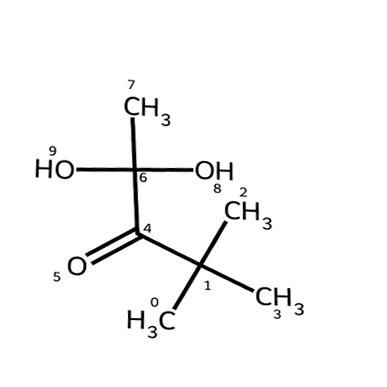 CC(C)(C)C(=O)C(C)(O)O